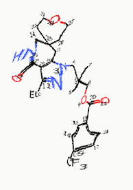 CCc1nn(CC(C)(C)COC(=O)c2ccc(C(F)(F)F)cc2)c2c1C(=O)NCC1(CCOCC1)C2